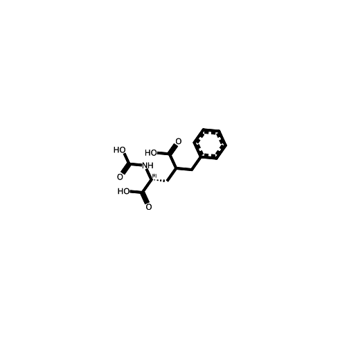 O=C(O)N[C@H](CC(Cc1ccccc1)C(=O)O)C(=O)O